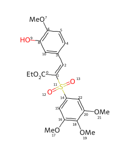 CCOC(=O)/C(=C\c1ccc(OC)c(O)c1)S(=O)(=O)c1cc(OC)c(OC)c(OC)c1